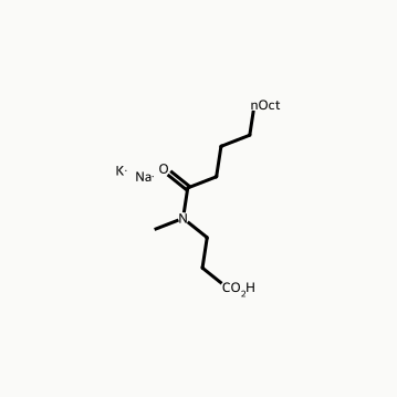 CCCCCCCCCCCC(=O)N(C)CCC(=O)O.[K].[Na]